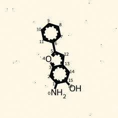 Nc1cc2oc(-c3ccccc3)cc2cc1O